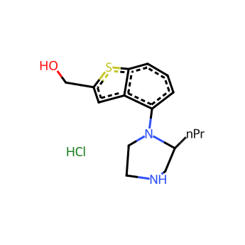 CCCC1CNCCN1c1cccc2sc(CO)cc12.Cl